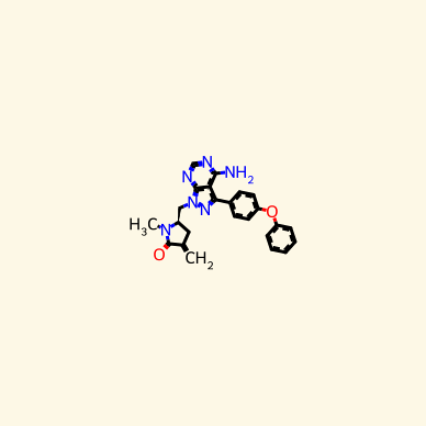 C=C1C[C@H](Cn2nc(-c3ccc(Oc4ccccc4)cc3)c3c(N)ncnc32)N(C)C1=O